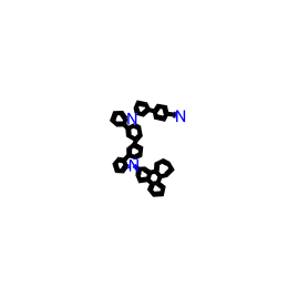 N#Cc1ccc(-c2cccc(-n3c4ccccc4c4cc(-c5ccc6c(c5)c5ccccc5n6-c5ccc6c(c5)C5=CC=CC=CC5c5ccccc5-6)ccc43)c2)cc1